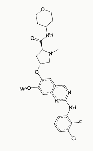 COc1cc2nc(Nc3cccc(Cl)c3F)ncc2cc1O[C@@H]1C[C@@H](C(=O)NC2CCOCC2)N(C)C1